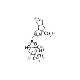 CC1(C)[C@H]2C[C@@H]3OB(CCCC4C5CNCC5C[C@@]4(N)C(=O)O)O[C@]3(C)[C@@H]1C2